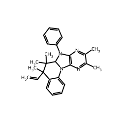 C=CC1(C)c2ccccc2N2c3nc(C)c(C)nc3N(c3ccccc3)C2C1(C)C